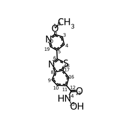 COc1ccc(-c2nc3ccc(C(=O)NO)cc3s2)cn1